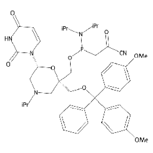 COc1ccc(C(OC[C@]2(COP(CC(=O)C#N)N(C(C)C)C(C)C)CN(C(C)C)C[C@H](n3ccc(=O)[nH]c3=O)O2)(c2ccccc2)c2ccc(OC)cc2)cc1